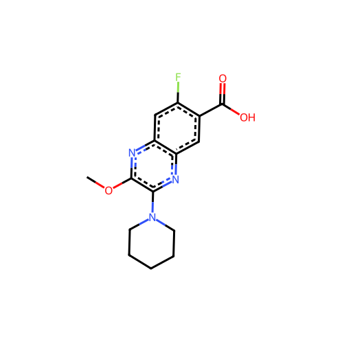 COc1nc2cc(F)c(C(=O)O)cc2nc1N1CCCCC1